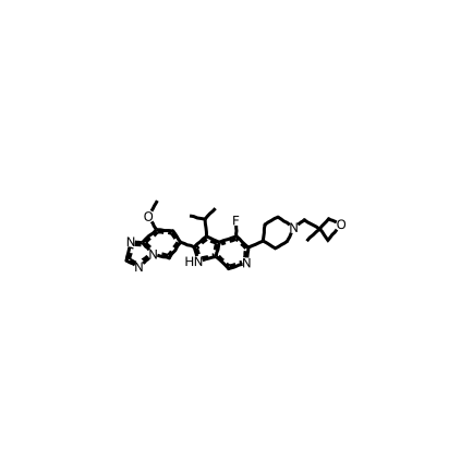 COc1cc(-c2[nH]c3cnc(C4CCN(CC5(C)COC5)CC4)c(F)c3c2C(C)C)cn2ncnc12